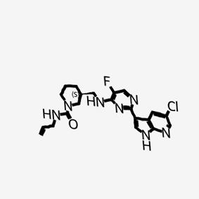 C=CCNC(=O)N1CCC[C@@H](CNc2nc(-c3c[nH]c4ncc(Cl)cc34)ncc2F)C1